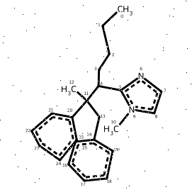 CCCCC(c1nccn1C)C(C)(Cc1ccccc1)c1ccccc1